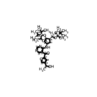 CC(C)[Si](O[C@H]1C[C@H](Nc2ncncc2C(=O)c2cc([C@@H](C)O)co2)C[C@@H]1CO[Si](C)(C)C(C)(C)C)(C(C)C)C(C)C